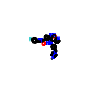 CN1CCN(Cc2ccc(NC(=C3C(=O)Nc4ccc(C(=O)NCc5ccc(F)cc5)cc43)c3cccnc3)cc2)CC1